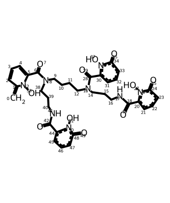 C=C1C=CC=C(C(=O)N(CCCCN(CCCNC(=O)c2cccc(=O)n2O)C(=O)c2cccc(=O)n2O)CCCNC(=O)c2cccc(=O)n2O)N1O